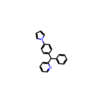 c1ccc(C(c2ccc(-n3cccc3)cc2)c2ccccn2)cc1